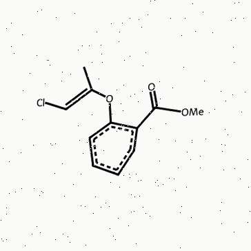 COC(=O)c1ccccc1OC(C)=CCl